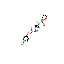 O=C(COc1ccc(Cl)cc1)NC12CC(NC(=O)C3CCCO3)(C1)C2